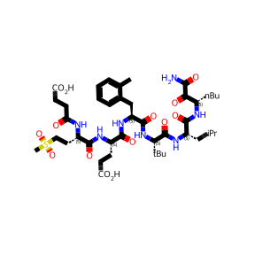 CCCC[C@H](NC(=O)[C@H](CC(C)C)NC(=O)[C@@H](NC(=O)[C@H](Cc1ccccc1C)NC(=O)[C@H](CCC(=O)O)NC(=O)[C@H](CCS(C)(=O)=O)NC(=O)CCC(=O)O)C(C)(C)C)C(=O)C(N)=O